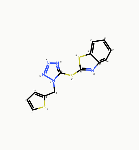 c1csc(Cn2nnnc2Sc2nc3ccccc3s2)c1